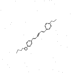 CCCCOc1ccc(C=CC#CC=Cc2ccc(CCC)cc2)cc1